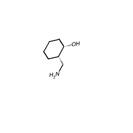 NC[C@@H]1CCCC[C@@H]1O